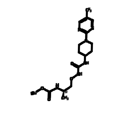 C[C@@H](CONC(=O)NC1CCN(c2ncc(C(F)(F)F)cn2)CC1)NC(=O)OC(C)(C)C